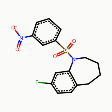 O=[N+]([O-])c1cccc(S(=O)(=O)N2CCCCc3ccc(F)cc32)c1